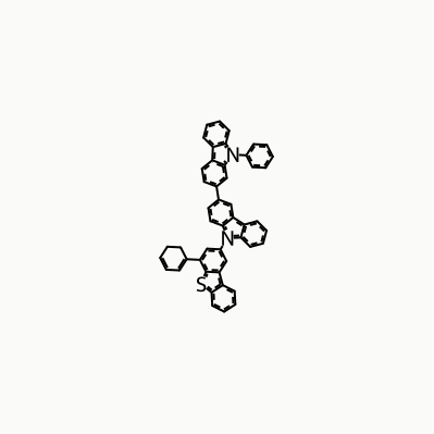 C1=CCCC(c2cc(-n3c4ccccc4c4cc(-c5ccc6c7ccccc7n(-c7ccccc7)c6c5)ccc43)cc3c2sc2ccccc23)=C1